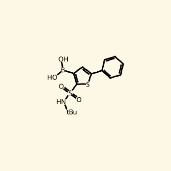 CC(C)(C)NS(=O)(=O)c1sc(-c2ccccc2)cc1B(O)O